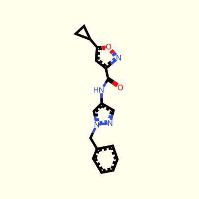 O=C(Nc1cnn(Cc2ccccc2)c1)c1cc(C2CC2)on1